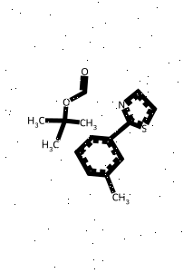 CC(C)(C)OC=O.Cc1cccc(-c2nccs2)c1